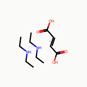 CCNCC.CCNCC.O=C(O)/C=C/C(=O)O